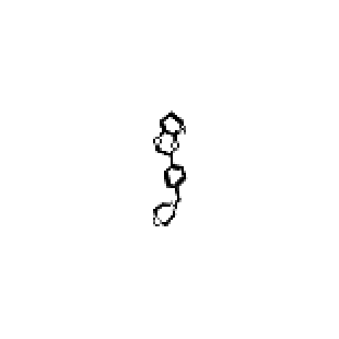 c1cnc2c(c1)OCC(c1ccc(CN3CCOCC3)cc1)O2